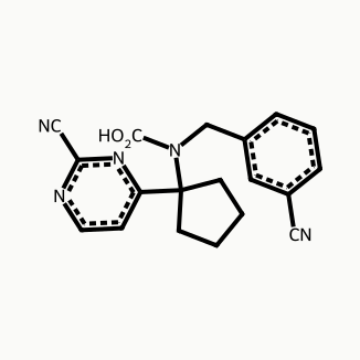 N#Cc1cccc(CN(C(=O)O)C2(c3ccnc(C#N)n3)CCCC2)c1